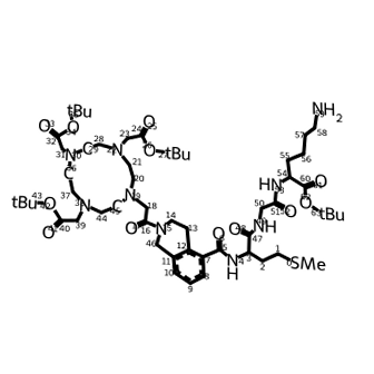 CSCCC(NC(=O)c1cccc2c1CCN(C(=O)CN1CCN(CC(=O)OC(C)(C)C)CCN(CC(=O)OC(C)(C)C)CCN(CC(=O)OC(C)(C)C)CC1)C2)C(=O)NCC(=O)NC(CCCCN)C(=O)OC(C)(C)C